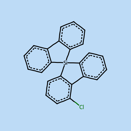 Clc1cccc2c1-c1ccccc1[Si]21c2ccccc2-c2ccccc21